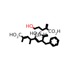 C=C(C(=O)O)C(C=C(C(=O)O)C(C)C=C(C)C(=O)O)Cc1ccccc1.C=C(CCCO)C(=O)O